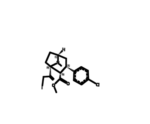 C=C(CI)[C@@]12CC[C@@H](C[C@H](c3ccc(Cl)cc3)[C@@H]1C(=O)OC)N2C